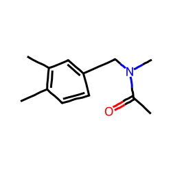 CC(=O)N(C)Cc1ccc(C)c(C)c1